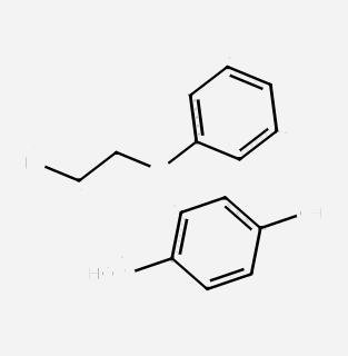 Cc1ccc(S(=O)(=O)O)cc1.OCCOc1ccccc1